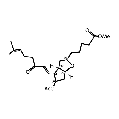 COC(=O)CCCC[C@@H]1C[C@@H]2[C@@H](C=CC(=O)CCC=C(C)C)[C@H](OC(C)=O)C[C@@H]2O1